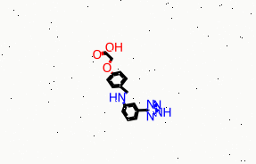 O=C(O)COc1ccc(CNc2cccc(-c3nn[nH]n3)c2)cc1